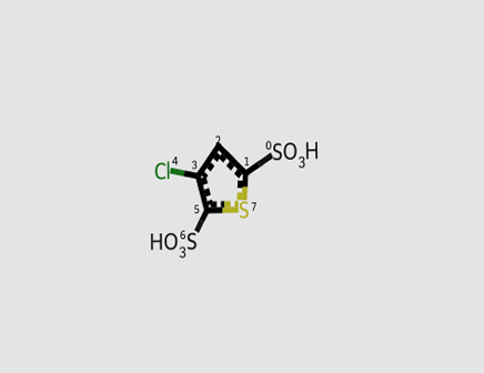 O=S(=O)(O)c1cc(Cl)c(S(=O)(=O)O)s1